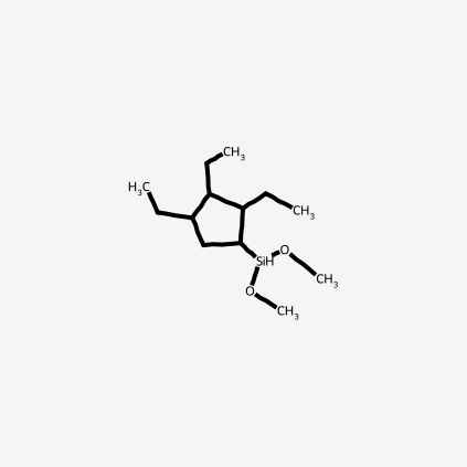 CCC1CC([SiH](OC)OC)C(CC)C1CC